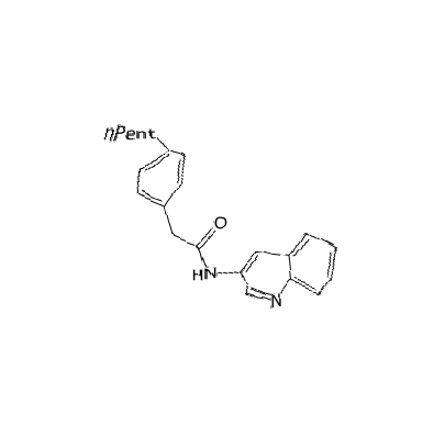 CCCCCc1ccc(CC(=O)Nc2cnc3ccccc3c2)cc1